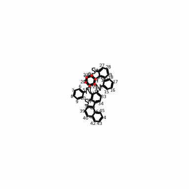 c1ccc(N(c2ccccc2)c2c(N(c3ccccc3)c3cccc4sc5ccccc5c34)ccc3c2sc2ccc4ccccc4c23)cc1